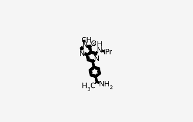 CC(C)Nc1nc(-c2ccc([C@H](C)N)cc2)cc2ncn(C)c(=O)c12